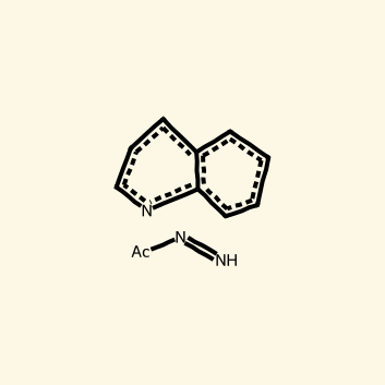 CC(=O)N=N.c1ccc2ncccc2c1